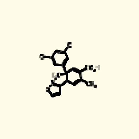 CC1=CC(c2ccon2)C(c2cc(Cl)cc(Cl)c2)(C(F)(F)F)C=C1C(=O)O